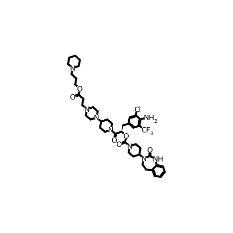 Nc1c(Cl)cc(C[C@@H](OC(=O)N2CCC(N3CCc4ccccc4NC3=O)CC2)C(=O)N2CCC(N3CCN(CCC(=O)OCCCN4CCCCC4)CC3)CC2)cc1C(F)(F)F